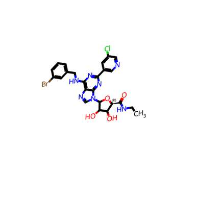 CCNC(=O)[C@@H]1OC(n2cnc3c(NCc4cccc(Br)c4)nc(-c4cncc(Cl)c4)nc32)C(O)C1O